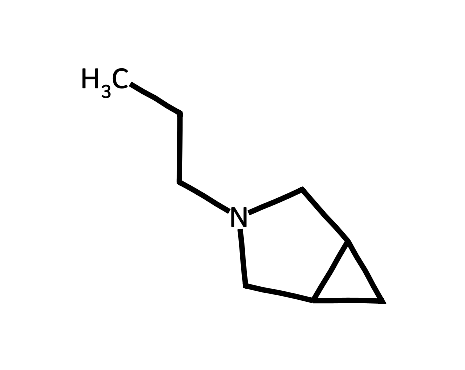 CCCN1CC2CC2C1